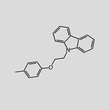 Cc1ccc(OCCn2c3ccccc3c3ccccc32)cc1